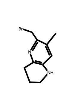 Cc1cc2c(nc1CBr)CCCN2